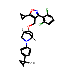 O=C(O)C1(c2ccc(N3C[C@@H]4C[C@H]3C[C@H]4OCc3c(-c4c(Cl)cccc4Cl)noc3C3CC3)cc2)CC1